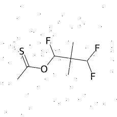 CC(=S)OC(F)C(C)(C)C(F)F